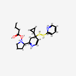 CCCC(=O)ON1CCCC1C1=NC=CC(SSc2ccccn2)(C2CC2)C1